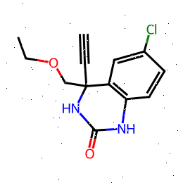 C#CC1(COCC)NC(=O)Nc2ccc(Cl)cc21